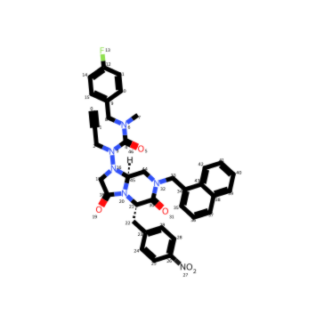 C#CCN(C(=O)N(C)Cc1ccc(F)cc1)N1CC(=O)N2[C@@H](Cc3ccc([N+](=O)[O-])cc3)C(=O)N(Cc3cccc4ccccc34)C[C@@H]21